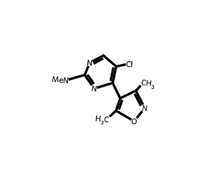 CNc1ncc(Cl)c(-c2c(C)noc2C)n1